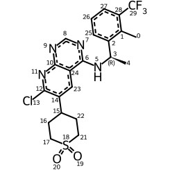 Cc1c([C@@H](C)Nc2ncnc3nc(Cl)c(C4CCS(=O)(=O)CC4)cc23)cccc1C(F)(F)F